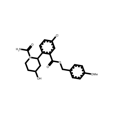 COc1ccc(COC(=O)c2cc(Cl)ccc2C2CC(O)CCN2C(N)=O)cc1